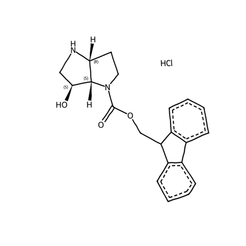 Cl.O=C(OCC1c2ccccc2-c2ccccc21)N1CC[C@H]2NC[C@H](O)[C@H]21